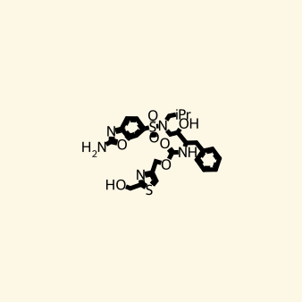 CC(C)CN(CC(O)C(Cc1ccccc1)NC(=O)OCc1csc(CO)n1)S(=O)(=O)c1ccc2nc(N)oc2c1